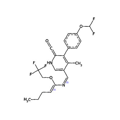 CCC/C=C(/N=C\C1=CNC(=C=O)C(c2ccc(OC(F)F)cc2)=C1C)OCC(F)(F)F